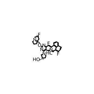 C#Cc1c(F)ccc2cccc(-c3ncc4c(N5CC[C@H](CO)C5)nc(OC[C@@]56CCCN5C[C@H](F)C6)nc4c3F)c12